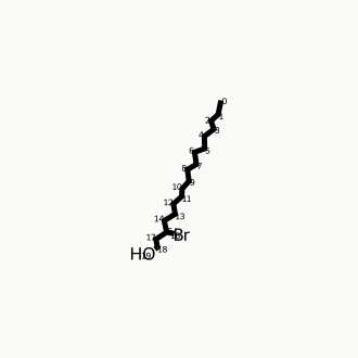 CCCCCCCCCCCCCCCC(Br)CCO